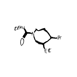 CCC1CN(C(=O)C(C)(C)C)CCC1C(C)C